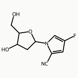 N#Cc1cc(F)cn1C1CC(O)C(CO)O1